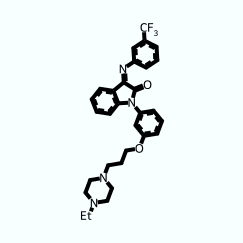 CCN1CCN(CCCOc2cccc(N3C(=O)C(=Nc4cccc(C(F)(F)F)c4)c4ccccc43)c2)CC1